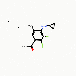 COC(=O)c1cc([N+](=O)[O-])c(NC2CC2)c(F)c1F